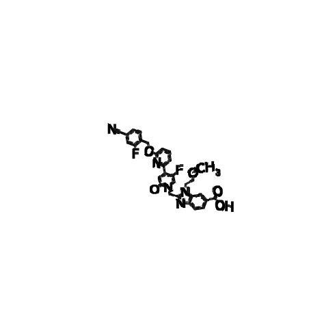 COCCn1c(Cn2cc(F)c(-c3cccc(OCc4ccc(C#N)cc4F)n3)cc2=O)nc2ccc(C(=O)O)cc21